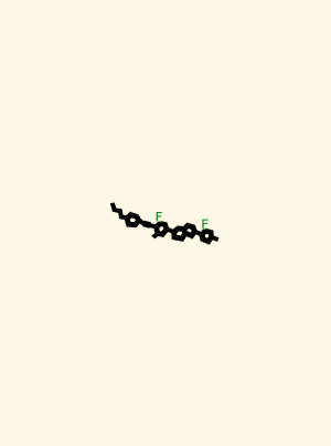 CCCCc1ccc(C#Cc2c(C)cc(-c3ccc4cc(-c5ccc(C)cc5F)ccc4c3)cc2F)cc1